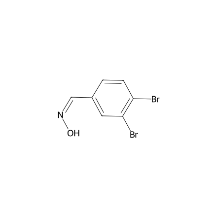 O/N=C\c1ccc(Br)c(Br)c1